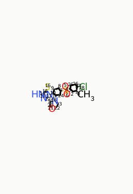 Cc1cc(S(=O)(=O)c2ccc(-n3cn[nH]c3=S)c(N3CCOCC3)c2)ccc1Cl